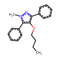 CCCCOc1c(-c2ccccc2)nn(C)c1-c1ccccc1